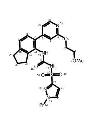 COCCOc1cc(-c2ccc3c(c2NC(=O)NS(=O)(=O)c2ccn(C(C)C)n2)CCC3)ccn1